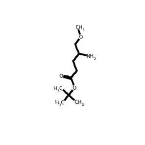 COCC(N)CCC(=O)OC(C)(C)C